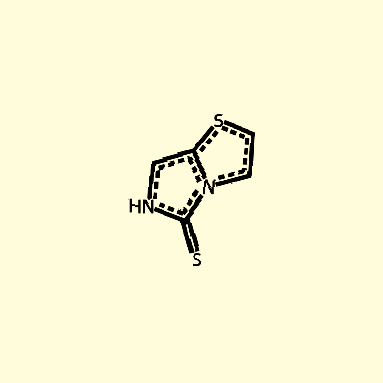 S=c1[nH]cc2sccn12